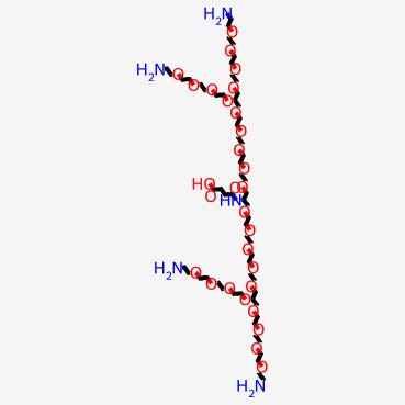 NCCOCCOCCOCCOCC(COCCOCCOCCOCCOCC(COCCOCCOCCOCCOCC(COCCOCCOCCOCCN)OCCOCCOCCOCCN)NC(=O)CCC(=O)O)OCCOCCOCCOCCN